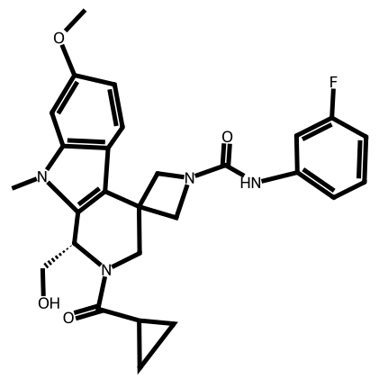 COc1ccc2c3c(n(C)c2c1)[C@@H](CO)N(C(=O)C1CC1)CC31CN(C(=O)Nc2cccc(F)c2)C1